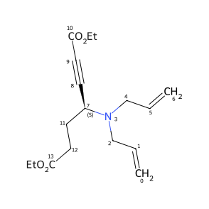 C=CCN(CC=C)[C@H](C#CC(=O)OCC)CCC(=O)OCC